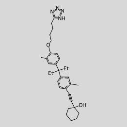 CCC(CC)(c1ccc(C#CC2(O)CCCCC2)c(C)c1)c1ccc(OCCCCc2nnn[nH]2)c(C)c1